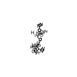 C=C(C)C[C@](NC(=S)NC(=O)OCc1cccc(CC(=C)C[C@](N)(C(=O)OC(C)C)c2ccc(-c3cnccn3)cc2)c1)(C(=O)OC(C)C)c1ccc(-c2cnccn2)cc1